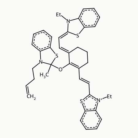 C=CCCN1c2ccccc2SC1(C)OC1=C(/C=C/c2sc3ccccc3[n+]2CC)CCC/C1=C\C=C1/Sc2ccccc2N1CC